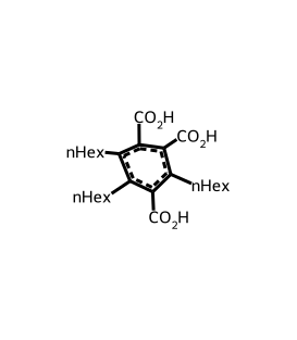 CCCCCCc1c(CCCCCC)c(C(=O)O)c(C(=O)O)c(CCCCCC)c1C(=O)O